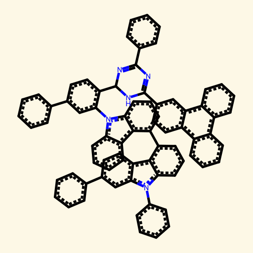 c1ccc(C2=NC(c3ccc(-c4ccccc4)cc3-n3c4ccccc4c4c(-c5cccc6c5c5ccc(-c7ccccc7)cc5n6-c5ccccc5)cccc43)NC(c3ccc4c5ccccc5c5ccccc5c4c3)=N2)cc1